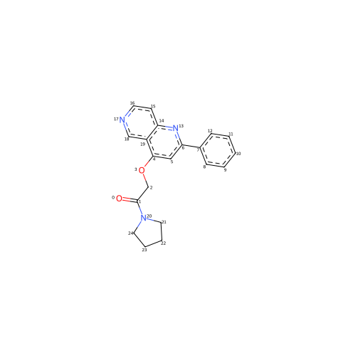 O=C(COc1cc(-c2ccccc2)nc2ccncc12)N1CCCC1